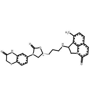 Cc1ccc2ccc(=O)n3c2c1C(NCCC[C@@H]1CN(c2ccc4c(c2)NC(=O)CS4)C(=O)O1)C3